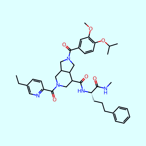 CCc1ccc(C(=O)N2CC3CN(C(=O)c4ccc(OC(C)C)c(OC)c4)CC3C(C(=O)N[C@@H](CCCc3ccccc3)C(=O)NC)C2)nc1